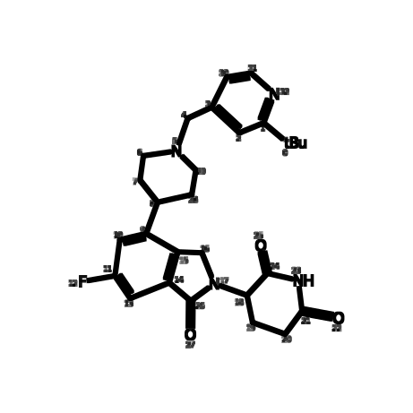 CC(C)(C)c1cc(CN2CCC(c3cc(F)cc4c3CN(C3CCC(=O)NC3=O)C4=O)CC2)ccn1